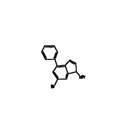 CCCC1C=Cc2c(-c3ccccc3)cc(Br)cc21